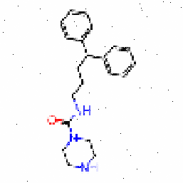 O=C(NCCCC(c1ccccc1)c1ccccc1)N1CCNCC1